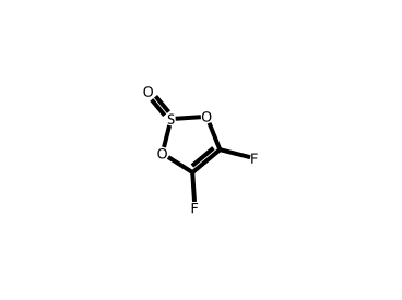 O=S1OC(F)=C(F)O1